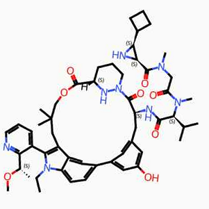 CCn1c(-c2cccnc2[C@H](C)OC)c2c3cc(ccc31)-c1cc(O)cc(c1)C[C@H](NC(=O)[C@H](C(C)C)N(C)C(=O)CN(C)C(=O)[C@H]1N[C@H]1C1CCC1)C(=O)N1CCC[C@H](N1)C(=O)OCC(C)(C)C2